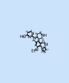 CCOc1cc(CN(c2nccc(O)n2)C2CCNCC2)cc(OCC)c1-n1cccc1